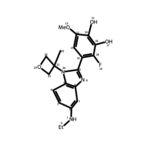 CCNc1ccc2c(c1)nc(-c1cc(OC)c(O)c(O)c1F)n2C1(C)COC1